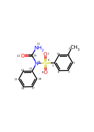 Cc1cccc(S(=O)(=O)N(C(N)=O)c2ccccc2)c1